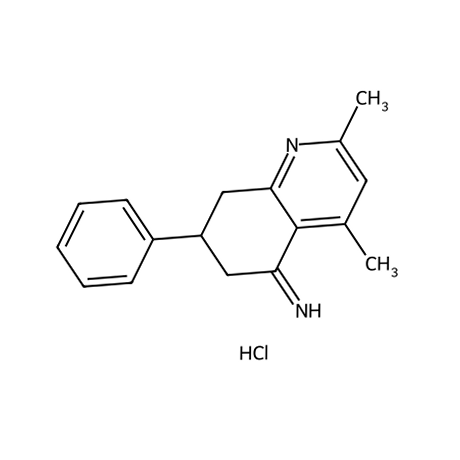 Cc1cc(C)c2c(n1)CC(c1ccccc1)CC2=N.Cl